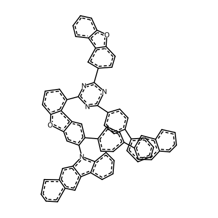 c1ccc(-c2ccc(-c3nc(-c4ccc5oc6ccccc6c5c4)nc(-c4cccc5oc6cc(-n7c8ccccc8c8cc9ccccc9cc87)c(-c7ccc(-c8ccc9ccccc9c8)cc7)cc6c45)n3)cc2)cc1